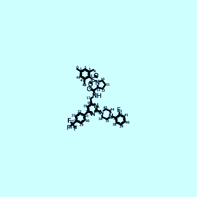 Cc1cc(C)c(S(=O)(=O)N2CCCC2C(=O)NCc2cc(-c3ccc(C(F)(F)F)cc3)nc(N3CCN(c4ccccc4F)CC3)n2)c(C)c1